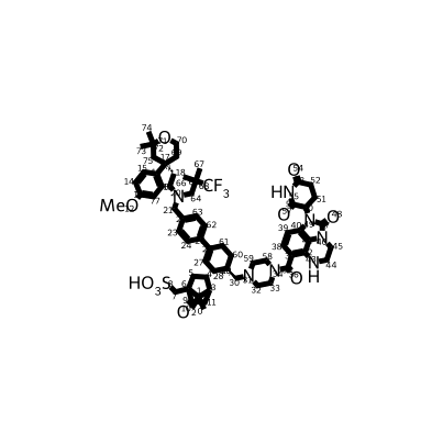 CC1(C)C2CCC1(CS(=O)(=O)O)C(=O)C2.COc1ccc([C@]2(CCN(Cc3ccc(C4=CC[C@H](CN5CCN(C(=O)c6ccc7c8c6NCCn8c(=O)n7C6CCC(=O)NC6=O)CC5)CC4)cc3)CC(C)(C)C(F)(F)F)CCOC(C)(C)C2)cc1